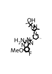 COc1cc(F)cc2c1nc(N)n1nc([C@H]3C[C@@H](C)CN(c4cn(C(C)(C)[C@@H](C)O)nc4C)C3)nc21